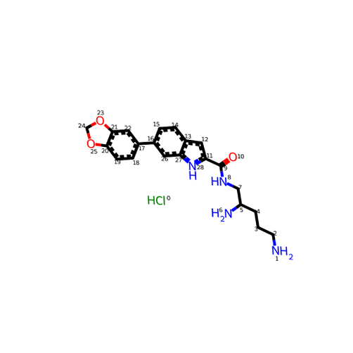 Cl.NCCCC(N)CNC(=O)c1cc2ccc(-c3ccc4c(c3)OCO4)cc2[nH]1